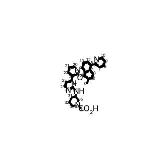 Cc1ccc2c(-c3ccccn3)cccc2c1Oc1ncccc1-c1ccnc(NC2CCCN(C(=O)O)C2)n1